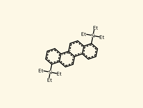 CC[Si](CC)(CC)c1cccc2c1ccc1c3cccc([Si](CC)(CC)CC)c3ccc21